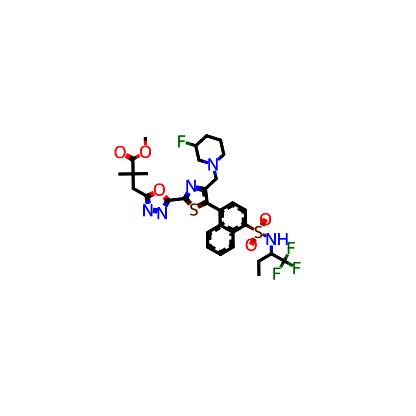 CCC(NS(=O)(=O)c1ccc(-c2sc(-c3nnc(CC(C)(C)C(=O)OC)o3)nc2CN2CCCC(F)C2)c2ccccc12)C(F)(F)F